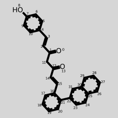 O=C(C=Cc1ccc(O)cc1)CC(=O)C=Cc1ccccc1-c1ccc2ccccc2c1